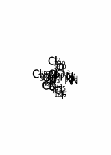 CCCC(Cn1cncn1)c1ccc(Cl)cc1Cl.Fc1ccc(Oc2ccnc3cc(Cl)cc(Cl)c23)cc1